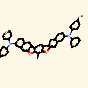 Cc1c2oc3cc4cc(N(c5ccccc5)c5ccc(C(C)(C)C)cc5)ccc4cc3c2cc2c1oc1cc3cc(N(c4ccccc4)c4ccc(C(C)(C)C)cc4)ccc3cc12